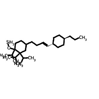 CCC[C@H]1CC[C@H](C=CCCC2CCC(O[SiH3])(C(C)C)C(C(C)C)(C(C)C)C2)CC1